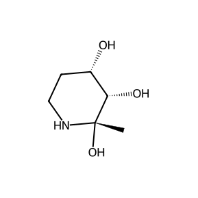 C[C@@]1(O)NCC[C@H](O)[C@@H]1O